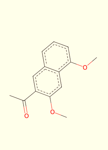 COc1cc2c(OC)cccc2cc1C(C)=O